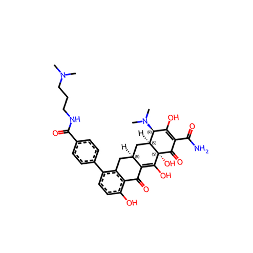 CN(C)CCCNC(=O)c1ccc(-c2ccc(O)c3c2C[C@H]2C[C@H]4[C@@H](N(C)C)C(O)=C(C(N)=O)C(=O)[C@@]4(O)C(O)=C2C3=O)cc1